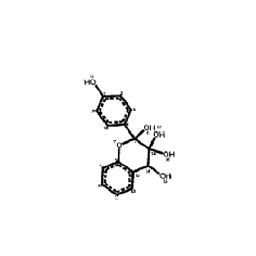 Oc1ccc(C2(O)Oc3ccccc3C(O)C2(O)O)cc1